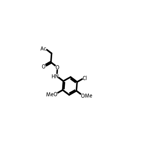 COc1cc(OC)c(NOC(=O)CC(C)=O)cc1Cl